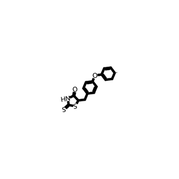 O=C1NC(=S)SC1Cc1ccc(OC2=CC[CH]C=C2)cc1